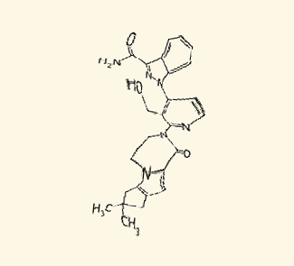 CC1(C)Cc2cc3n(c2C1)CCN(c1nccc(-n2nc(C(N)=O)c4ccccc42)c1CO)C3=O